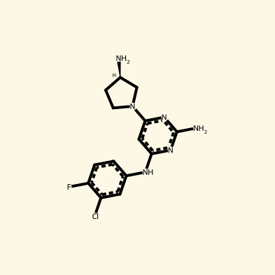 Nc1nc(Nc2ccc(F)c(Cl)c2)cc(N2CC[C@@H](N)C2)n1